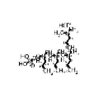 C=CCN(C)C.C=CCN(C)C.C=CCN(C)C.C=CCN(C)C.Cl.O=P(O)(O)O